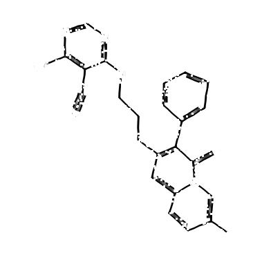 N#Cc1c(N)ncnc1NCCCc1cc2ccc(F)cn2c(=O)c1-c1ccccc1